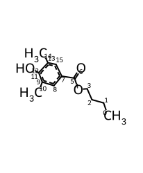 CCCCOC(=O)c1cc(C)c(O)c(C)c1